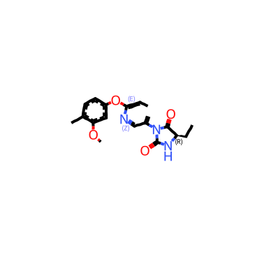 C=C(/C=N\C(=C/C)Oc1ccc(C)c(OC)c1)N1C(=O)N[C@H](CC)C1=O